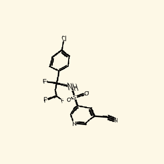 N#Cc1cncc(S(=O)(=O)NC(F)(c2ccc(Cl)cc2)C(F)F)c1